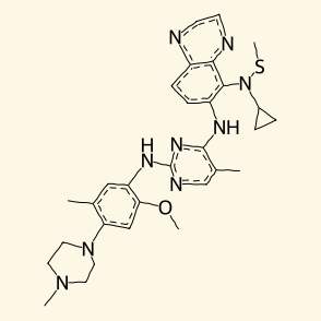 COc1cc(N2CCN(C)CC2)c(C)cc1Nc1ncc(C)c(Nc2ccc3nccnc3c2N(SC)C2CC2)n1